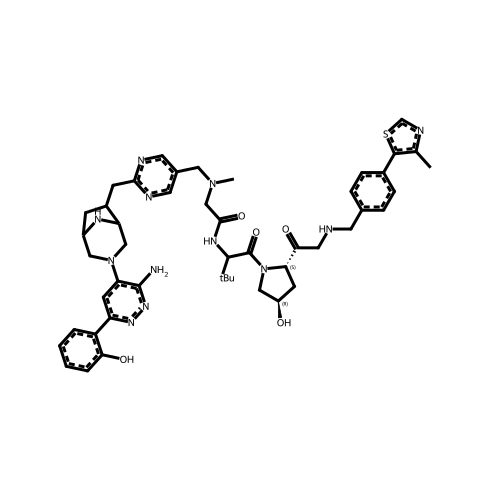 Cc1ncsc1-c1ccc(CNCC(=O)[C@@H]2C[C@@H](O)CN2C(=O)C(NC(=O)CN(C)Cc2cnc(CC3CC4CN(c5cc(-c6ccccc6O)nnc5N)CC3N4)nc2)C(C)(C)C)cc1